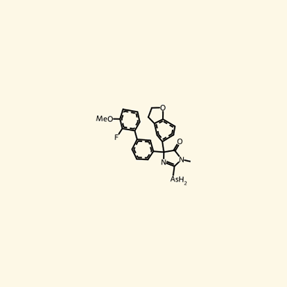 COc1cccc(-c2cccc(C3(c4ccc5c(c4)CCO5)N=C([AsH2])N(C)C3=O)c2)c1F